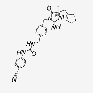 C[C@]1(CC2CCCC2)NC(=N)N(Cc2ccc(CNC(=O)Nc3ccc(C#N)cc3)cc2)C1=O